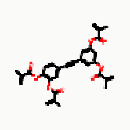 C=C(C)C(=O)Oc1cc(C#Cc2ccc(OC(=O)C(=C)C)c(OC(=O)C(=C)C)c2)cc(OC(=O)C(=C)C)c1